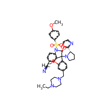 CCN1CCN(Cc2ccc(C3(N4CCC[C@H]4c4ncco4)C(=O)N(S(=O)(=O)c4ccc(OC)cc4)c4ccc(C#N)cc43)c(OC)c2)CC1